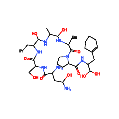 CCC(C)C(NC(O)C(C)NC(O)C(CC(C)C)NC(=O)C(CO)NC(=O)C(N)CC(N)O)C(=O)N1CCCC1C(=O)NC(CC1=CCCCC1)C(O)O